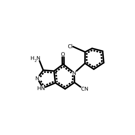 N#Cc1cc2[nH]nc(N)c2c(=O)n1-c1ccccc1Cl